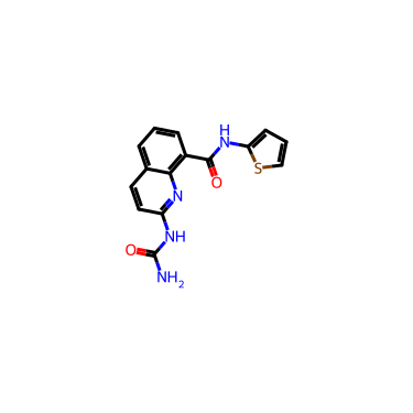 NC(=O)Nc1ccc2cccc(C(=O)Nc3cccs3)c2n1